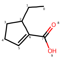 CCC1CCC=C1C(=O)O